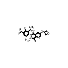 C[C@@H](Nc1nn(C)c(=O)c2ncc(OC3COC3)cc12)c1cccc(C(F)F)c1F